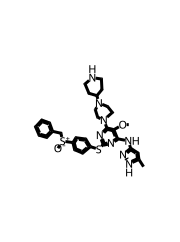 COc1c(Nc2cc(C)[nH]n2)nc(Sc2ccc([S+]([O-])Cc3ccccc3)cc2)nc1N1CCN(C2CCNCC2)CC1